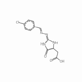 O=C(O)CC1NC(=NN=Cc2ccc(Cl)cc2)NC1=O